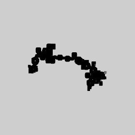 Cc1ncsc1-c1ccc(CNC(=O)[C@@H]2C[C@@H](O)CN2C(=O)C(NC(=O)CCOCCOCCC(=O)N2CCN(c3ncc(-c4cc(NC(=O)c5ccc(F)cc5C(F)(F)F)c(N5C[C@@H](C)N(C)[C@@H](C)C5)cc4F)cn3)CC2)C(C)(C)C)cc1